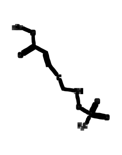 CCCCOC(=O)C=CCCNOS(=O)(=O)C(F)(F)F